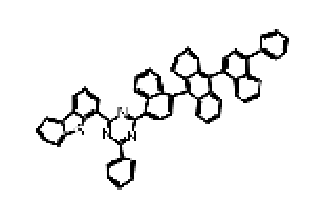 c1ccc(-c2nc(-c3ccc(-c4c5ccccc5c(-c5ccc(-c6ccccc6)c6ccccc56)c5ccccc45)c4ccccc34)nc(-c3cccc4c3sc3ccccc34)n2)cc1